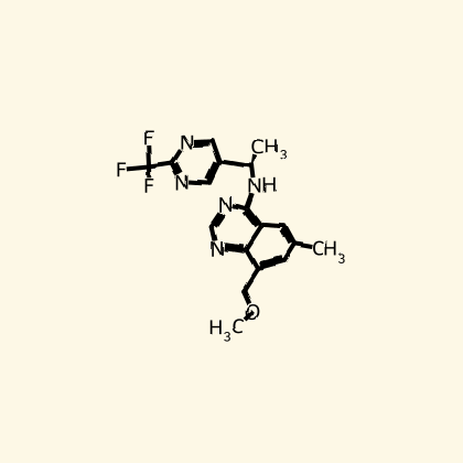 COCc1cc(C)cc2c(N[C@H](C)c3cnc(C(F)(F)F)nc3)ncnc12